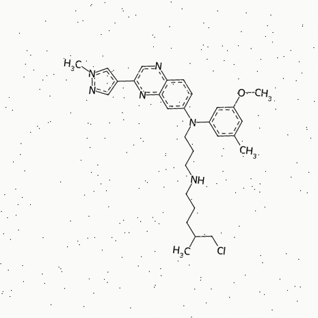 COc1cc(C)cc(N(CCCNCCCC(C)CCl)c2ccc3ncc(-c4cnn(C)c4)nc3c2)c1